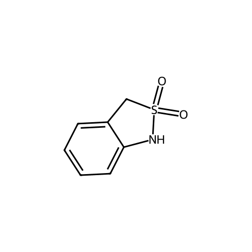 O=S1(=O)Cc2ccccc2N1